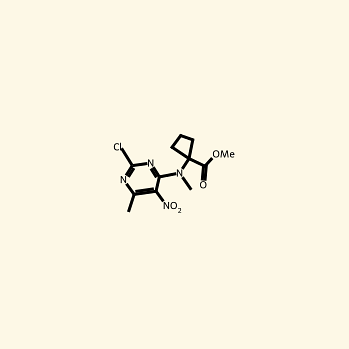 COC(=O)C1(N(C)c2nc(Cl)nc(C)c2[N+](=O)[O-])CCC1